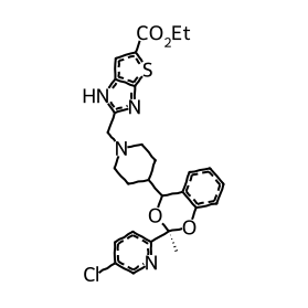 CCOC(=O)c1cc2[nH]c(CN3CCC(C4O[C@](C)(c5ccc(Cl)cn5)Oc5ccccc54)CC3)nc2s1